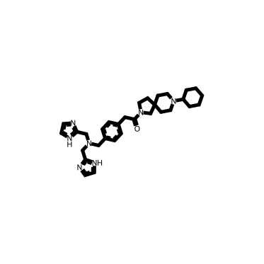 O=C(Cc1ccc(CN(Cc2ncc[nH]2)Cc2ncc[nH]2)cc1)N1CCC2(CCN(C3CCCCC3)CC2)C1